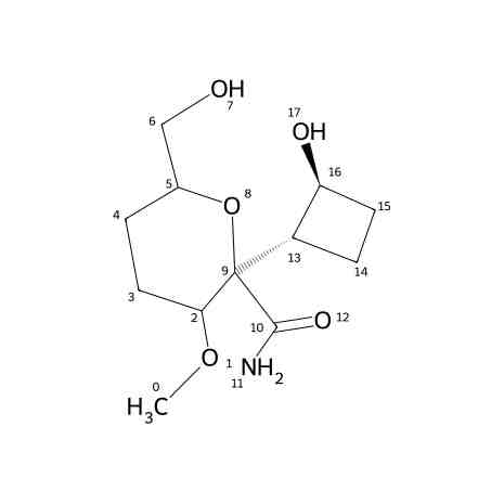 COC1CCC(CO)OC1(C(N)=O)[C@H]1CC[C@@H]1O